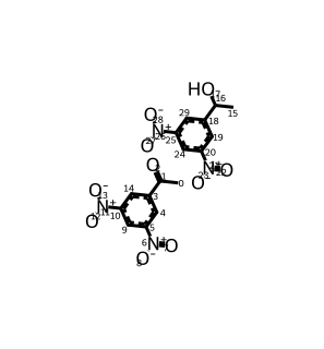 CC(=O)c1cc([N+](=O)[O-])cc([N+](=O)[O-])c1.CC(O)c1cc([N+](=O)[O-])cc([N+](=O)[O-])c1